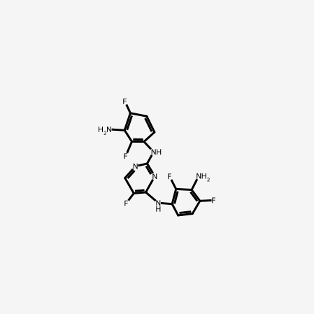 Nc1c(F)ccc(Nc2ncc(F)c(Nc3ccc(F)c(N)c3F)n2)c1F